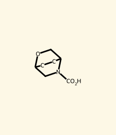 O=C(O)N1CC2CCC1CO2